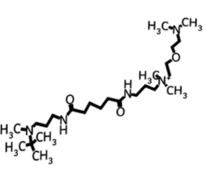 CN(C)CCOCC[N+](C)(C)CCCNC(=O)CCCCC(=O)NCCCN(C)C(C)(C)C